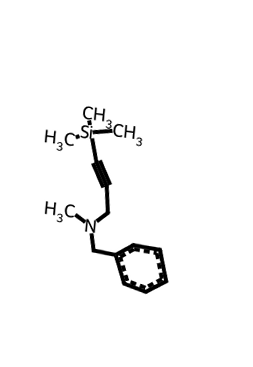 CN(CC#C[Si](C)(C)C)Cc1ccccc1